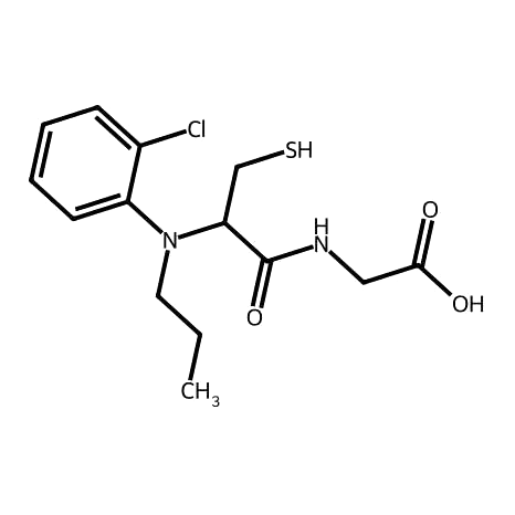 CCCN(c1ccccc1Cl)C(CS)C(=O)NCC(=O)O